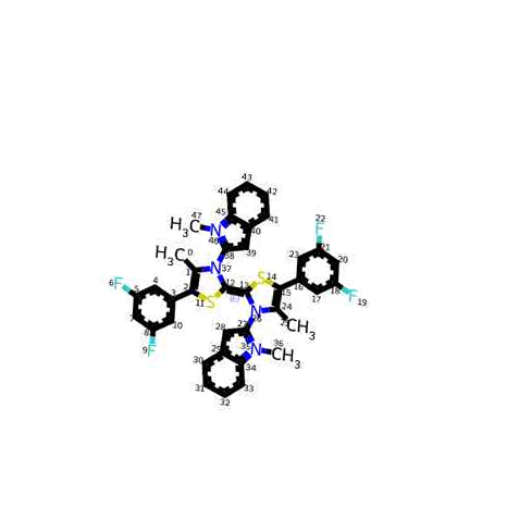 CC1=C(c2cc(F)cc(F)c2)S/C(=C2/SC(c3cc(F)cc(F)c3)=C(C)N2c2cc3ccccc3n2C)N1c1cc2ccccc2n1C